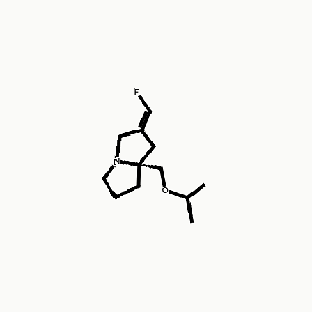 CC(C)OC[C@@]12CCCN1C/C(=C\F)C2